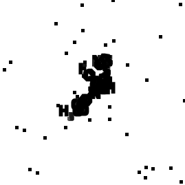 CS(=O)(=O)N1CCC(c2csc(Nc3ncc(Sc4ccnc5ccsc45)cc3Oc3ccc(F)cc3)n2)CC1.Cl